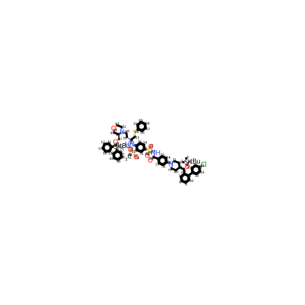 CC(C)(C)[Si](C)(C)OC(c1ccccc1-c1ccc(Cl)cc1)C1CCN(c2ccc(C(=O)NS(=O)(=O)c3ccc(N[C@H](CCN4CCOC[C@@H]4CO[Si](c4ccccc4)(c4ccccc4)C(C)(C)C)CSc4ccccc4)c(S(=O)(=O)C(F)(F)F)c3)cc2)CC1